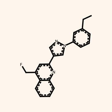 CCc1cccc(-n2cc(-c3cc(CF)c4ccccc4n3)cn2)c1